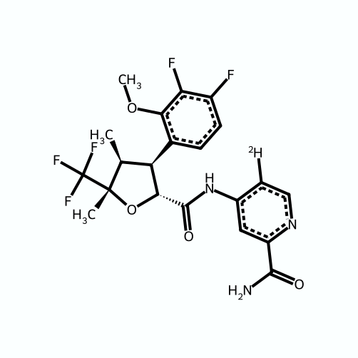 [2H]c1cnc(C(N)=O)cc1NC(=O)[C@@H]1O[C@](C)(C(F)(F)F)[C@@H](C)[C@H]1c1ccc(F)c(F)c1OC